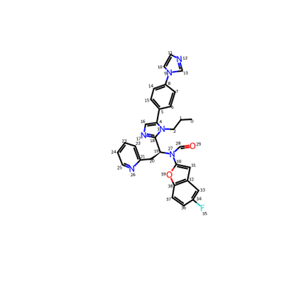 CCCn1c(-c2ccc(-n3ccnc3)cc2)cnc1[C@H](Cc1ccccn1)N(C=O)c1cc2cc(F)ccc2o1